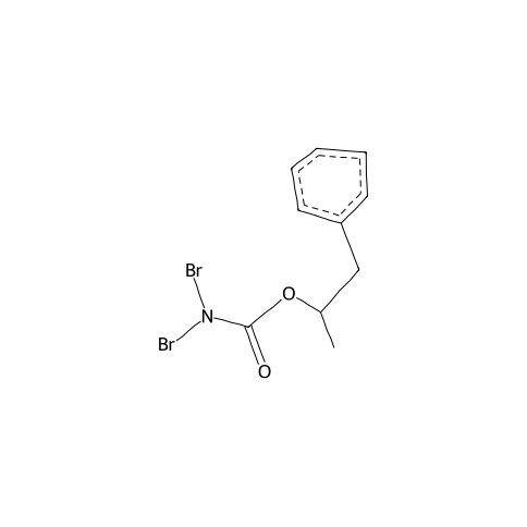 CC(Cc1ccccc1)OC(=O)N(Br)Br